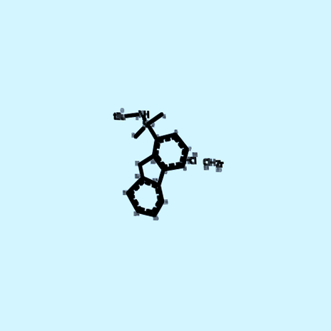 CC(C)(C)N[Si](C)(C)c1cccc2c1Cc1ccccc1-2.Cl.Cl.[Zr]